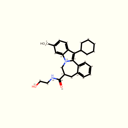 O=C(O)c1ccc2c(C3CCCCC3)c3n(c2c1)CC(C(=O)NCCO)Cc1ccccc1-3